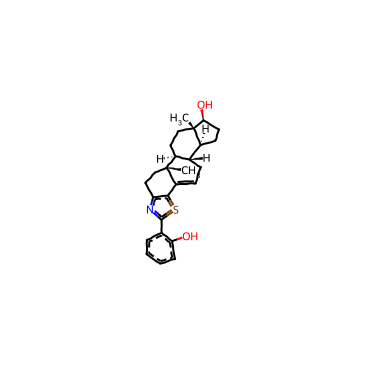 C[C@]12CC[C@H]3[C@@H](CC=C4c5sc(-c6ccccc6O)nc5CC[C@@]43C)[C@@H]1CC[C@@H]2O